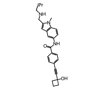 CC(C)CNCc1cc2cc(NC(=O)c3ccc(C#CC4(O)CCC4)cc3)ccc2n1C